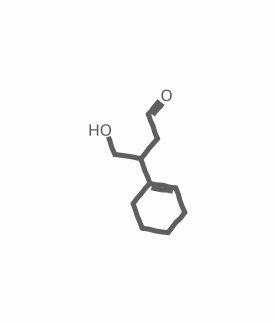 O=CCC(CO)C1=CCCCC1